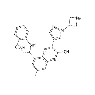 Cc1cc(C(C)Nc2ccccc2C(=O)O)c2cc(-c3cnn(C4CNC4)c3)c(C#N)nc2c1